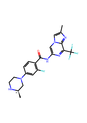 Cc1cn2cc(NC(=O)c3ccc(N4CCN[C@H](C)C4)cc3F)nc(C(F)(F)F)c2n1